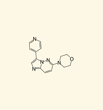 c1cc(-c2cnc3ccc(N4CCOCC4)nn23)ccn1